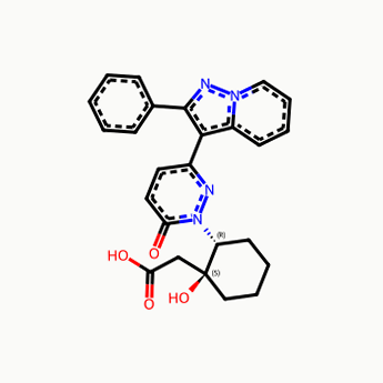 O=C(O)C[C@@]1(O)CCCC[C@H]1n1nc(-c2c(-c3ccccc3)nn3ccccc23)ccc1=O